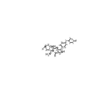 C=C/C=C\C(=C/C)Cc1ccc(-c2[nH]cc(SF)c2/N=C(\N=C\N)NC2CCN(C)CC2)cc1